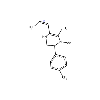 C/C=C\C1=C(C)N(C(C)=O)C(c2ccc(C(F)(F)F)cc2)CN1